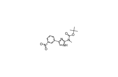 CN(C(=O)OC(C)(C)C)c1nc(-c2cccc([N+](=O)[O-])c2)c[nH]1